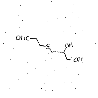 O=CCCSCC(O)CO